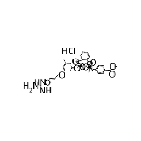 COC(=O)c1ccc(N(C)S(=O)(=O)c2ccccc2S(=O)(=O)Oc2cc(C)cc(OCCCONC(=N)N)c2)cc1.Cl